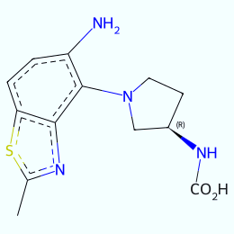 Cc1nc2c(N3CC[C@@H](NC(=O)O)C3)c(N)ccc2s1